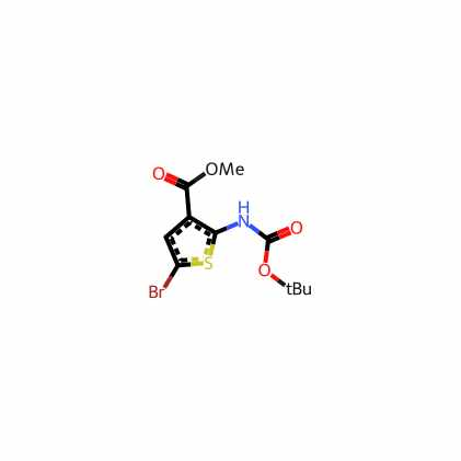 COC(=O)c1cc(Br)sc1NC(=O)OC(C)(C)C